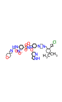 CC1(C)CCC(CN2CCN(c3ccc(C(=O)NS(=O)(=O)c4ccc(NCCN5CC6(CCOCC6)C5)c([N+](=O)[O-])c4)c(Oc4cnc5[nH]ccc5c4)c3)CC2)=C(C23CC(Cl)(C2)C3)C1